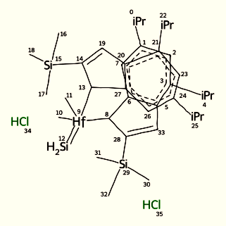 CC(C)c1cc(C(C)C)c2c(c1)[CH]([Hf]([CH3])([CH3])(=[SiH2])[CH]1C([Si](C)(C)C)=Cc3c(C(C)C)cc(C(C)C)cc31)C([Si](C)(C)C)=C2.Cl.Cl